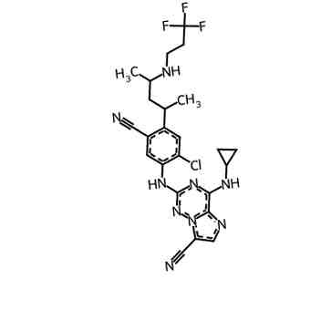 CC(CC(C)c1cc(Cl)c(Nc2nc(NC3CC3)c3ncc(C#N)n3n2)cc1C#N)NCCC(F)(F)F